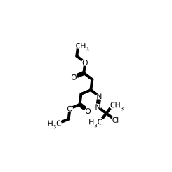 CCOC(=O)CC(CC(=O)OCC)/N=N/C(C)(C)Cl